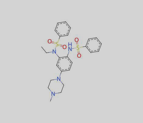 CCN(c1cc(N2CCN(C)CC2)ccc1NS(=O)(=O)c1ccccc1)S(=O)(=O)c1ccccc1